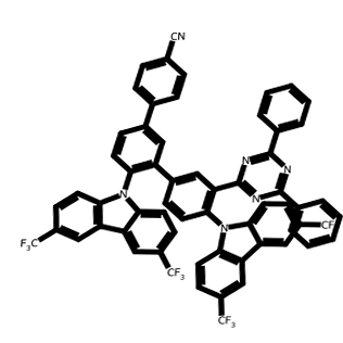 N#Cc1ccc(-c2ccc(-n3c4ccc(C(F)(F)F)cc4c4cc(C(F)(F)F)ccc43)c(-c3ccc(-n4c5ccc(C(F)(F)F)cc5c5cc(C(F)(F)F)ccc54)c(-c4nc(-c5ccccc5)nc(-c5ccccc5)n4)c3)c2)cc1